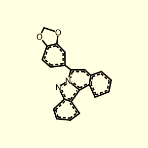 c1ccc2c(c1)cc(-c1ccc3c(c1)OCO3)n1nc3ccccc3c21